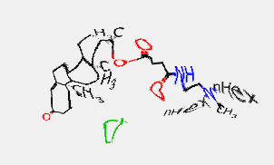 CCCCCC[N+](C)(CCCCCC)CCNC(=O)CCC(=O)O[C@@H](C)[C@H]1CCC2C3CCC4=CC(=O)CC[C@]4(C)C3CC[C@@]21C.[Cl-]